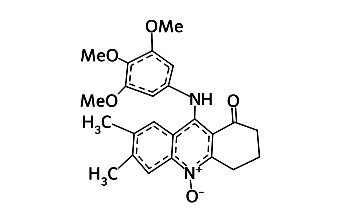 COc1cc(Nc2c3c([n+]([O-])c4cc(C)c(C)cc24)CCCC3=O)cc(OC)c1OC